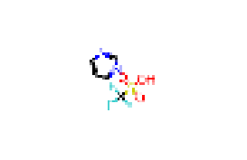 O=S(=O)(O)C(F)(F)F.c1cncnc1